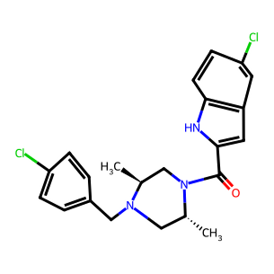 C[C@@H]1CN(Cc2ccc(Cl)cc2)[C@@H](C)CN1C(=O)c1cc2cc(Cl)ccc2[nH]1